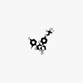 C[C@H]([C@]1(c2ccc(F)cc2F)CO1)[N+]1(c2ccc(OCC(F)(F)C(F)(F)F)cc2)CC[NH+]([O-])C1